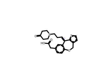 O=C(O)Cc1ccc2c(c1)/C(=C\CCN1CCC(=O)CC1)c1sccc1CO2